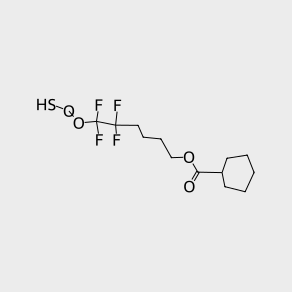 O=C(OCCCCC(F)(F)C(F)(F)OOS)C1CCCCC1